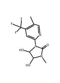 Cc1cnc(N2C(=O)N(C)C(O)C2O)cc1C(F)(F)F